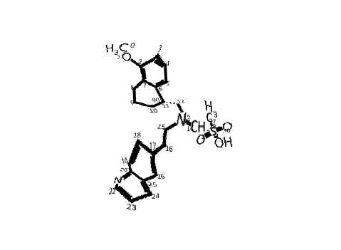 COc1cccc2c1CCC[C@H]2CN(C)CCc1ccc2ncccc2c1.CS(=O)(=O)O